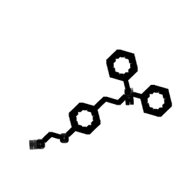 OCOc1ccc(CC[SiH](c2ccccc2)c2ccccc2)cc1